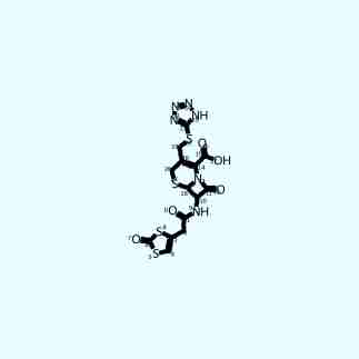 O=C(Cc1csc(=O)s1)NC1C(=O)N2C(C(=O)O)=C(CSc3nnn[nH]3)CSC12